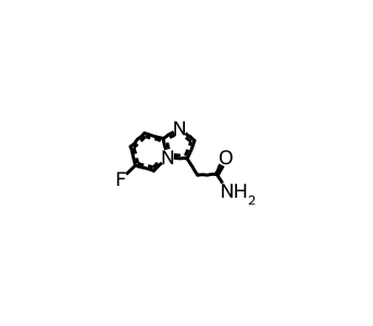 NC(=O)Cc1cnc2ccc(F)cn12